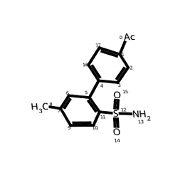 CC(=O)c1ccc(-c2cc(C)ccc2S(N)(=O)=O)cc1